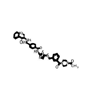 CC(=O)N1CCN(C(=O)c2cccc(CSc3cnc(NC(=O)c4ccc(CN[C@H](CO)[C@H](O)c5ccccc5)cc4)s3)c2)CC1